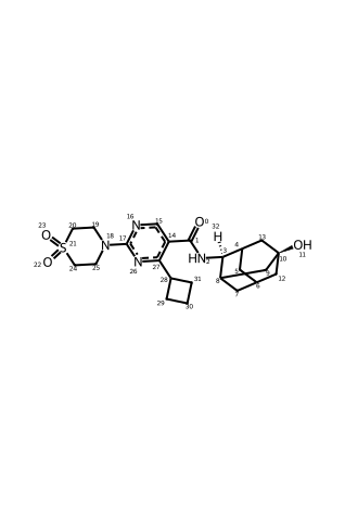 O=C(N[C@H]1C2CC3CC1C[C@@](O)(C3)C2)c1cnc(N2CCS(=O)(=O)CC2)nc1C1CCC1